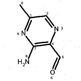 Cc1cnc(C=O)c(N)n1